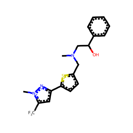 CN(Cc1ccc(-c2cc(C(F)(F)F)n(C)n2)s1)CC(O)c1ccccc1